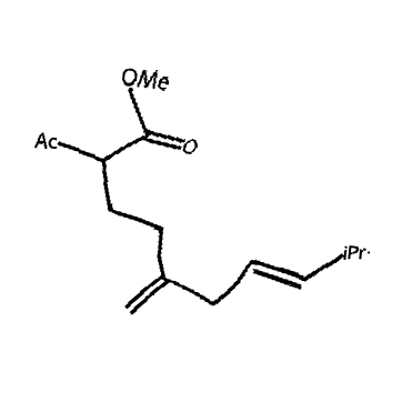 C=C(CC=C[C](C)C)CCC(C(C)=O)C(=O)OC